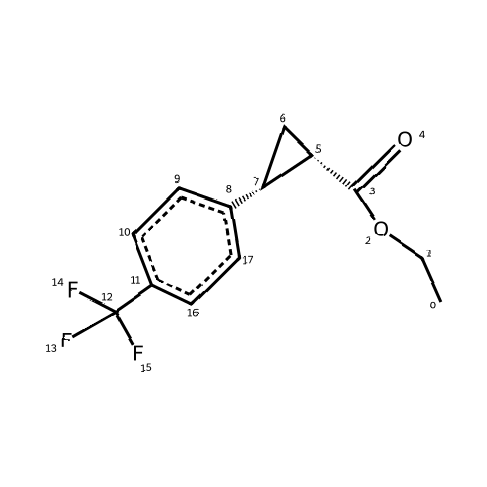 CCOC(=O)[C@H]1C[C@H]1c1ccc(C(F)(F)F)cc1